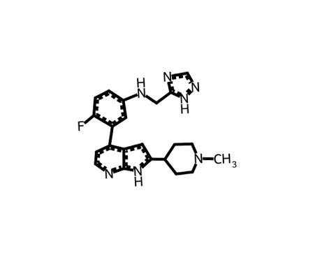 CN1CCC(c2cc3c(-c4cc(NCc5ncn[nH]5)ccc4F)ccnc3[nH]2)CC1